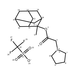 CC1(OC(=O)C[S+]2CCCC2)C2CC3CC(C2)CC1C3.O=S(=O)([O-])C(F)(F)F